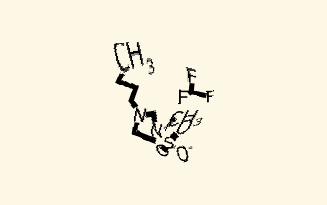 CCCCN1C=C[N+](C)(S(=O)(=O)[O-])C1.FC(F)F